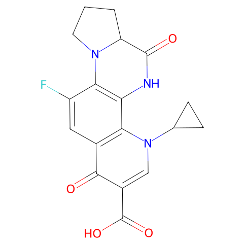 O=C(O)c1cn(C2CC2)c2c3c(c(F)cc2c1=O)N1CCCC1C(=O)N3